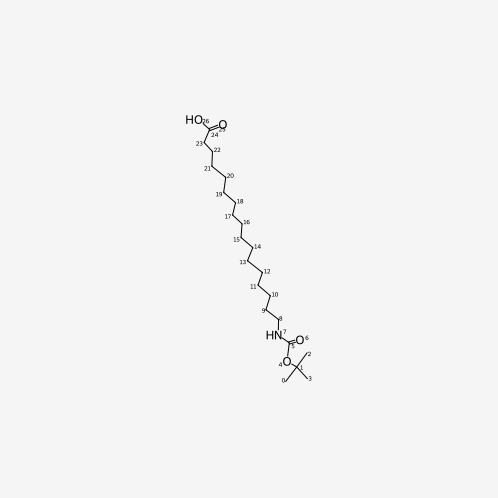 CC(C)(C)OC(=O)NCCCCCCCCCCCCCCCCC(=O)O